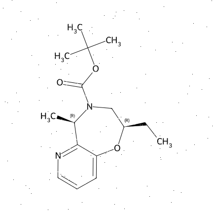 CC[C@@H]1CN(C(=O)OC(C)(C)C)[C@H](C)c2ncccc2O1